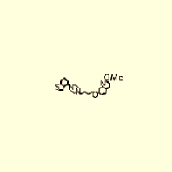 COc1ccc2ccc(OCCCCN3CCN(c4cccc5sccc45)CC3)cc2n1